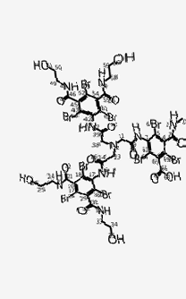 CNC(=O)c1c(Br)c(NC(=O)CN(CC(=O)Nc2c(Br)c(C(=O)NCCO)c(Br)c(C(=O)NCCO)c2Br)CC(=O)Nc2c(Br)c(C(=O)NCCO)c(Br)c(C(=O)NCCO)c2Br)c(Br)c(C(=O)O)c1Br